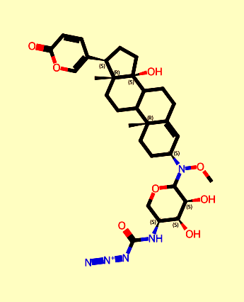 CON(C1OC[C@H](NC(=O)N=[N+]=[N-])[C@H](O)[C@@H]1O)[C@@H]1C=C2CCC3C(CC[C@]4(C)[C@@H](c5ccc(=O)oc5)CC[C@]34O)[C@@]2(C)CC1